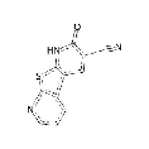 N#Cc1cc2c([nH]c1=O)sc1ncccc12